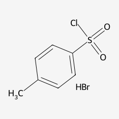 Br.Cc1ccc(S(=O)(=O)Cl)cc1